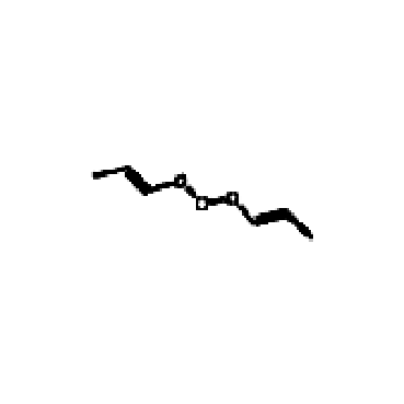 CC=COOOC=CC